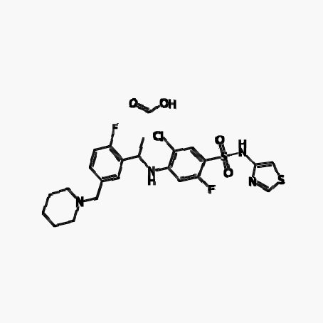 CC(Nc1cc(F)c(S(=O)(=O)Nc2cscn2)cc1Cl)c1cc(CN2CCCCC2)ccc1F.O=CO